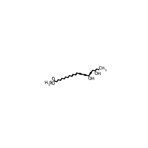 CCCC(O)CC#CC(O)C#CC#CC=CC=CCCCCCCCCC(=O)OC